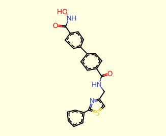 O=C(NO)c1ccc(-c2ccc(C(=O)NCc3csc(-c4ccccc4)n3)cc2)cc1